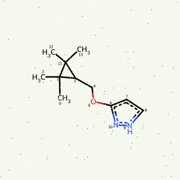 CC1(C)C(COc2cc[nH]n2)C1(C)C